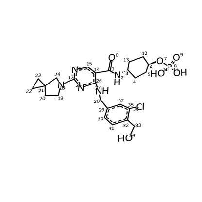 O=C(N[C@H]1CC[C@H](OP(=O)(O)O)CC1)c1cnc(N2CCC3(CC3)C2)nc1NCc1ccc(CO)c(Cl)c1